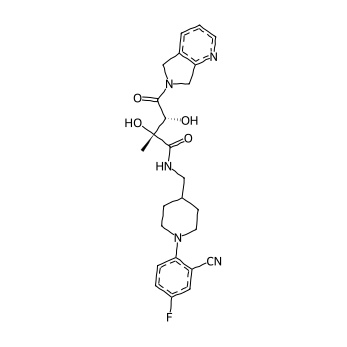 C[C@](O)(C(=O)NCC1CCN(c2ccc(F)cc2C#N)CC1)[C@@H](O)C(=O)N1Cc2cccnc2C1